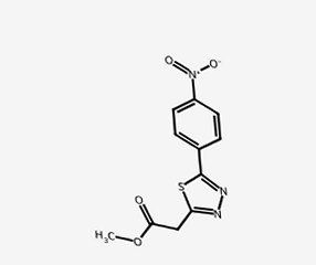 COC(=O)Cc1nnc(-c2ccc([N+](=O)[O-])cc2)s1